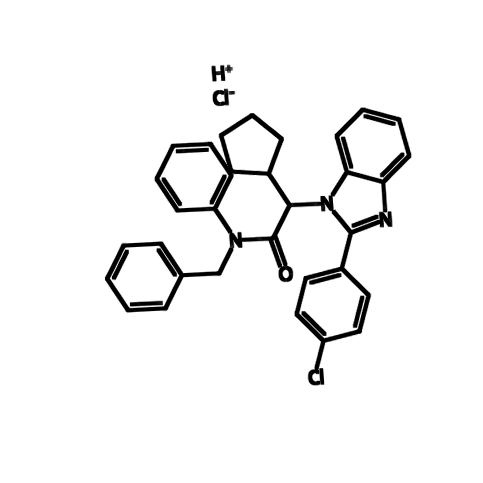 O=C(C(C1CCCC1)n1c(-c2ccc(Cl)cc2)nc2ccccc21)N(Cc1ccccc1)c1ccccc1.[Cl-].[H+]